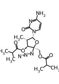 CC(C)C(=O)OC[C@@]1(N=[N+]=[N-])O[C@@H](n2ccc(N)nc2=O)[C@@H](C)[C@@H]1OC(=O)C(C)C